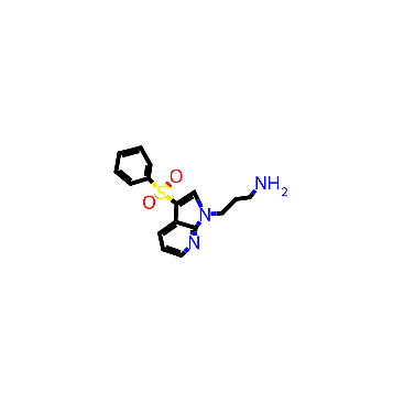 NCCCn1cc(S(=O)(=O)c2ccccc2)c2cccnc21